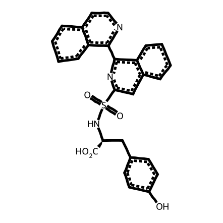 O=C(O)[C@H](Cc1ccc(O)cc1)NS(=O)(=O)c1cc2ccccc2c(-c2nccc3ccccc23)n1